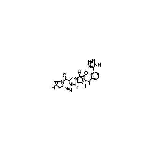 C[C@H](c1cccc(-c2nnn[nH]2)c1)N1C(=O)[C@@H]2C[C@H]1CN2C[C@H](N)C(=O)N1C2C[C@H]2C[C@H]1C#N